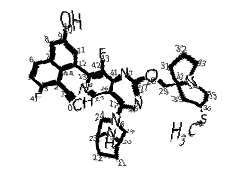 C#Cc1c(F)ccc2cc(O)cc(-c3ncc4c(N5CC6CCC(C5)N6)nc(OC[C@@]56CCCN5C[C@H](SC)C6)nc4c3F)c12